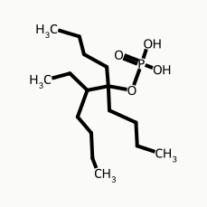 CCCCC(CC)C(CCCC)(CCCC)OP(=O)(O)O